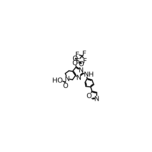 O=C(O)N1CCc2c(nc(Nc3ccc(-c4cnco4)cc3)nc2OS(=O)(=O)C(F)(F)F)C1